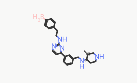 Bc1ccc(CCNc2nccc(-c3cccc(CN[C@@H]4CCNC[C@@H]4C)c3)n2)cc1